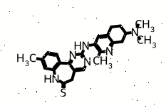 Cc1ccc2c(c1)NC(=S)Cc1cnc(Nc3cc4c(nc3C)CC(N(C)C)CC4)nc1-2